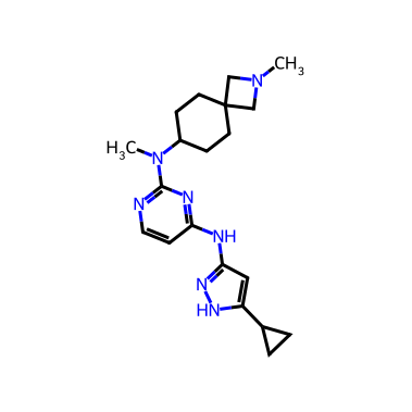 CN1CC2(CCC(N(C)c3nccc(Nc4cc(C5CC5)[nH]n4)n3)CC2)C1